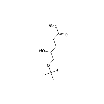 COC(=O)CCC(O)COC(C)(F)F